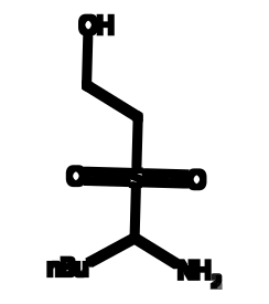 CCCCC(N)S(=O)(=O)CCO